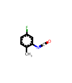 Cc1ccc(F)cc1N=C=O